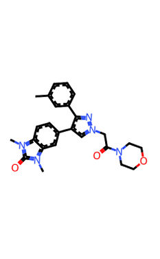 Cc1cccc(-c2nn(CC(=O)N3CCOCC3)cc2-c2ccc3c(c2)n(C)c(=O)n3C)c1